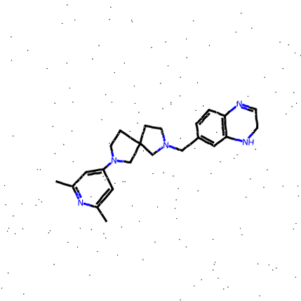 Cc1cc(N2CCC3(CCN(Cc4ccc5c(c4)NCC=N5)C3)C2)cc(C)n1